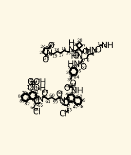 N=CONCCC[C@H](NC(=O)C1(C(=O)NCCCCCN2C(=O)C=CC2=O)CCC1)C(=O)Nc1ccc(COC(=O)Nc2cc3c(c4ccccc24)[C@H](CCl)CN3C(=O)CCCC(=O)N2C[C@@H](CCl)c3c2cc(OP(=O)(O)O)c2ccccc32)cc1